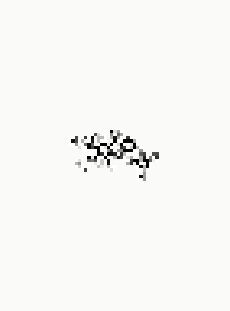 C=C(c1ccc(CN2C(=O)CNC2=O)cc1)c1cc2c(cc1C)C(C)(C)CCC2(C)C